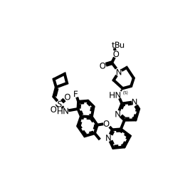 Cc1ccc2c(NS(=O)(=O)C=C3CCC3)c(F)ccc2c1Oc1ncccc1-c1ccnc(N[C@H]2CCCN(C(=O)OC(C)(C)C)C2)n1